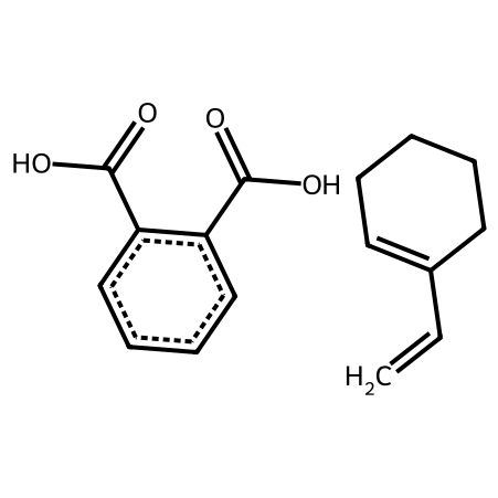 C=CC1=CCCCC1.O=C(O)c1ccccc1C(=O)O